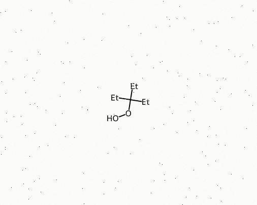 CCC(CC)(CC)OO